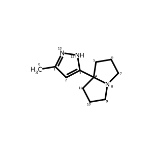 Cc1cc(C23CCCN2CCC3)[nH]n1